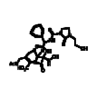 CC(=O)OCC1=C(C(=O)O)N2C(=O)[C@@](NO)(NC(=O)C(NC(=O)N3CCN(CCO)C3=O)c3ccccc3)[C@H]2SC1